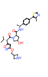 Cc1ncsc1-c1ccc([C@H](C)NC(=O)C2CC(O)CN2C(=O)[C@H](c2cc(OCC3CNC3)no2)C(C)C)cc1